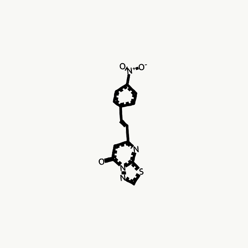 O=c1cc(/C=C/c2ccc([N+](=O)[O-])cc2)nc2scnn12